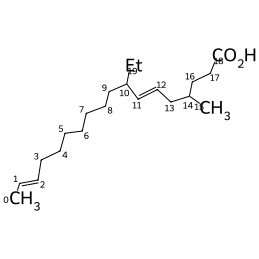 C/C=C/CCCCCCCC(/C=C/CC(C)CCC(=O)O)CC